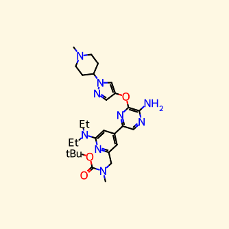 CCN(CC)c1cc(-c2cnc(N)c(Oc3cnn(C4CCN(C)CC4)c3)n2)cc(CN(C)C(=O)OC(C)(C)C)n1